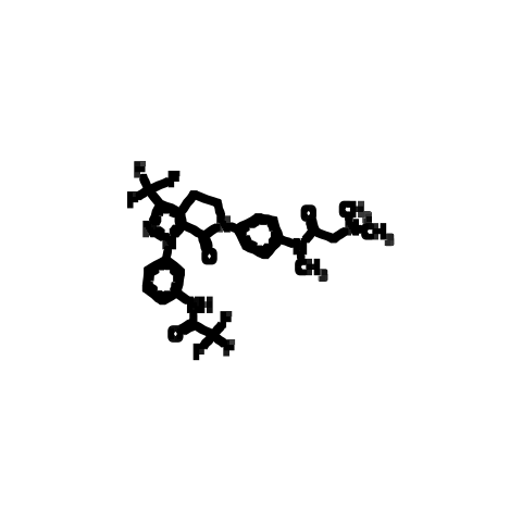 CN(C)CC(=O)N(C)c1ccc(N2CCc3c(C(F)(F)F)nn(-c4cccc(NC(=O)C(F)(F)F)c4)c3C2=O)cc1